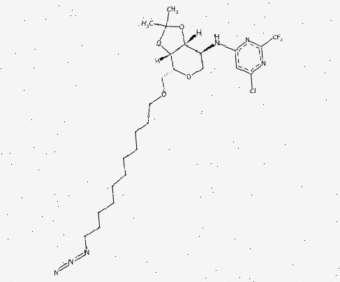 CC1(C)O[C@@H]2[C@H](O1)[C@@H](Nc1cc(Cl)nc(C(F)(F)F)n1)CO[C@@H]2COCCCCCCCCCCCN=[N+]=[N-]